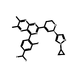 Cc1nc2nc(C3=C[C@H](c4cnn(C5CC5)c4)OCC3)nc(-c3ccc(C(F)F)cc3F)c2nc1C